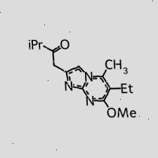 CCc1c(OC)nc2nc(CC(=O)C(C)C)cn2c1C